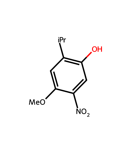 COc1cc(C(C)C)c(O)cc1[N+](=O)[O-]